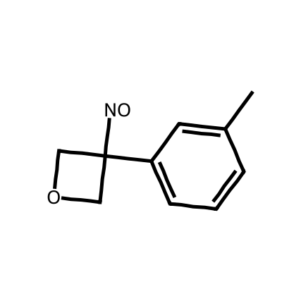 Cc1cccc(C2(N=O)COC2)c1